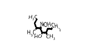 CCCC(C)C(=NO)C(O)C(C)CCC